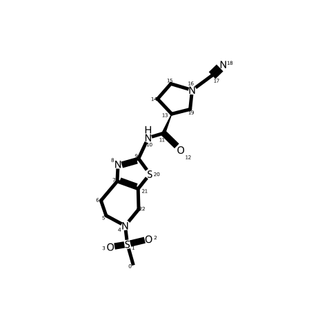 CS(=O)(=O)N1CCc2nc(NC(=O)[C@H]3CCN(C#N)C3)sc2C1